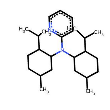 CC1CCC(C(C)C)C(N(c2ccccn2)C2CC(C)CCC2C(C)C)C1